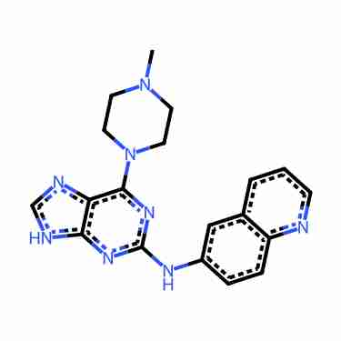 CN1CCN(c2nc(Nc3ccc4ncccc4c3)nc3[nH]cnc23)CC1